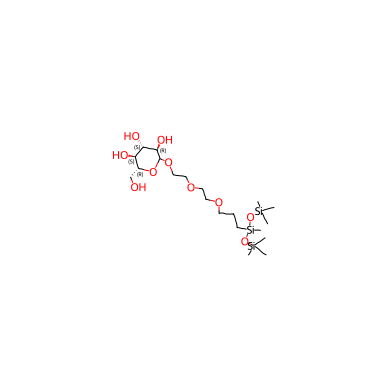 C[Si](C)(C)O[Si](C)(CCCOCCOCCOC1O[C@H](CO)[C@@H](O)[C@H](O)[C@H]1O)O[Si](C)(C)C